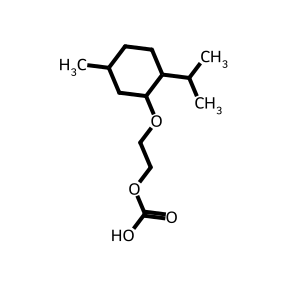 CC1CCC(C(C)C)C(OCCOC(=O)O)C1